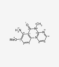 COc1cccc(C(=O)N(C)c2ncccn2)c1N